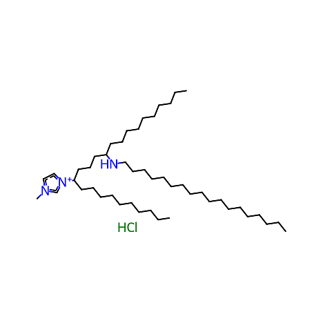 CCCCCCCCCCCCCCCCCCNC(CCCCCCCCCC)CCCC(CCCCCCCCCC)[n+]1ccn(C)c1.Cl